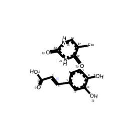 O=C(O)/C=C/c1ccc(O)c(O)c1.O=c1[nH]cc(F)c(=O)[nH]1